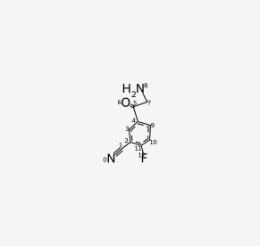 N#Cc1cc(C(=O)CN)ccc1F